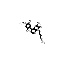 COCCCCn1c(=O)c(C)nc2c(-c3cc(Cl)c(OC)cc3C)ccnc21